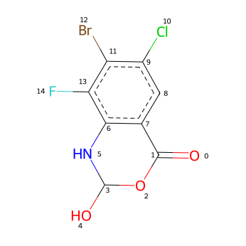 O=C1OC(O)Nc2c1cc(Cl)c(Br)c2F